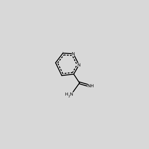 N=C(N)c1cc[c]nn1